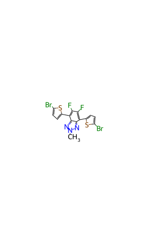 Cn1nc2c(-c3ccc(Br)s3)c(F)c(F)c(-c3ccc(Br)s3)c2n1